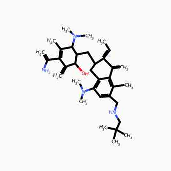 C=C(N)C1=C(C)C(N(C)C)C(CC2Cc3c(N(C)C)cc(CNCC(C)(C)C)c(C)c3C(=C)/C2=C/C)C(O)C1=C